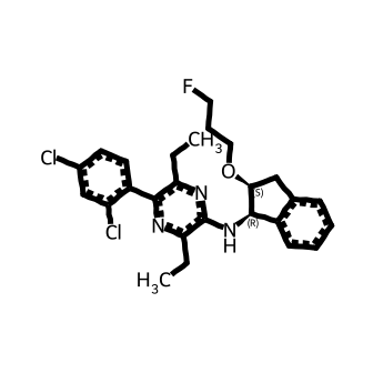 CCc1nc(-c2ccc(Cl)cc2Cl)c(CC)nc1N[C@@H]1c2ccccc2C[C@@H]1OCCCF